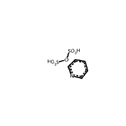 O=S(=O)(O)OS(=O)(=O)O.c1ccncc1